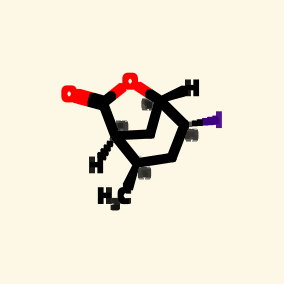 C[C@@H]1C[C@@H](I)[C@@H]2C[C@@H]1C(=O)O2